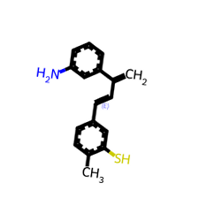 C=C(/C=C/c1ccc(C)c(S)c1)c1cccc(N)c1